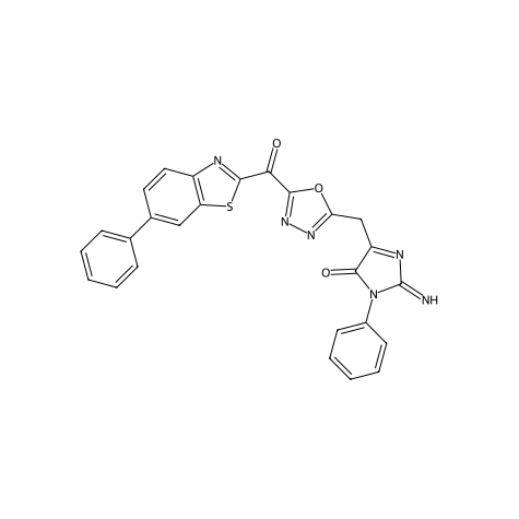 N=C1N=C(Cc2nnc(C(=O)c3nc4ccc(-c5ccccc5)cc4s3)o2)C(=O)N1c1ccccc1